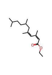 CCOC(=O)C=C(C)C=C(C)CC(C)CCC(C)C